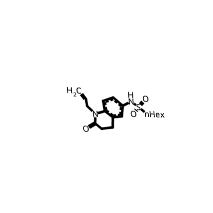 C=CCN1C(=O)CCc2cc(NS(=O)(=O)CCCCCC)ccc21